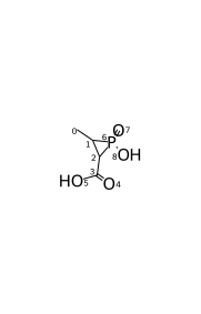 CC1C(C(=O)O)P1(=O)O